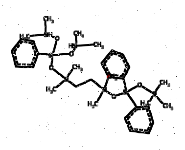 C[SiH](C)O[Si](O[SiH](C)C)(O[Si](C)(C)CC[Si](C)(C)O[Si](O[Si](C)(C)C)(c1ccccc1)c1ccccc1)c1ccccc1